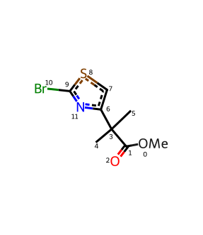 COC(=O)C(C)(C)c1csc(Br)n1